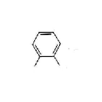 O=C(O)c1ccccc1C(=O)O.[SbH3]